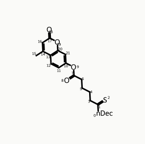 CCCCCCCCCCC(=S)CCCCC(=O)Oc1ccc2c(C)cc(=O)oc2c1